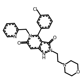 O=c1c2c(-c3cccc(Cl)c3)n(Cc3ccccn3)c(=O)cc2[nH]n1CCN1CCOCC1